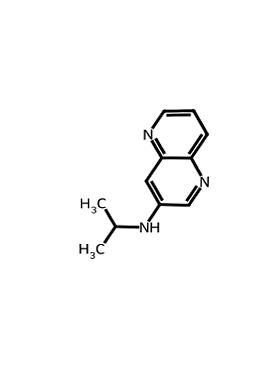 CC(C)Nc1cnc2cccnc2c1